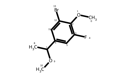 COc1c(F)cc(C(C)OC)cc1Br